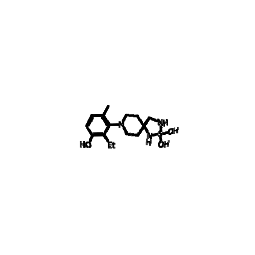 CCc1c(O)ccc(C)c1N1CCC2(CC1)CNS(O)(O)N2